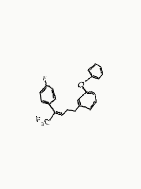 Fc1ccc(/C(=C\CCc2cccc(Oc3ccccc3)c2)C(F)(F)F)cc1